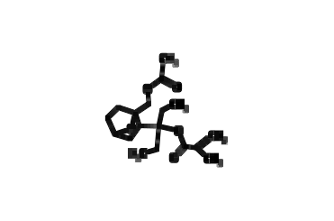 C=C(C)C(=O)OC(CC)(CC)C1CC2CCC1(COC(C)=O)O2